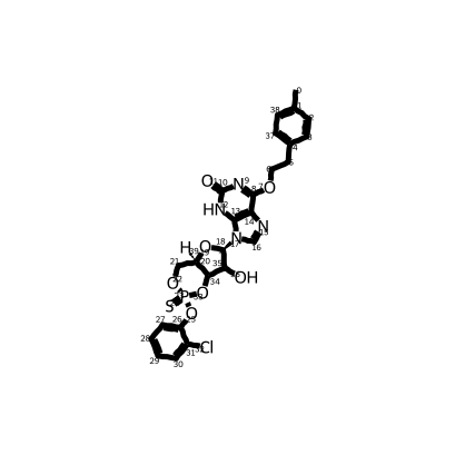 Cc1ccc(CCOc2nc(=O)[nH]c3c2ncn3[C@@H]2O[C@@H]3COP(=S)(Oc4ccccc4Cl)OC3C2O)cc1